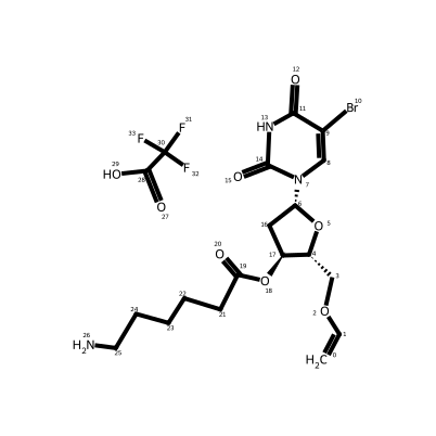 C=COC[C@H]1O[C@@H](n2cc(Br)c(=O)[nH]c2=O)C[C@@H]1OC(=O)CCCCCN.O=C(O)C(F)(F)F